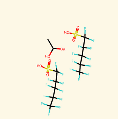 CC(O)O.O=S(=O)(O)C(F)(F)C(F)(F)C(F)(F)C(F)(F)C(F)(F)F.O=S(=O)(O)C(F)(F)C(F)(F)C(F)(F)C(F)(F)C(F)(F)F